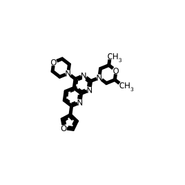 CC1CN(c2nc(N3CCOCC3)c3ccc(-c4ccoc4)nc3n2)CC(C)O1